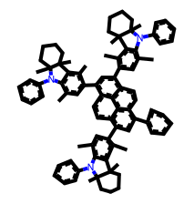 Cc1cc(-c2cc(-c3ccccc3)c3ccc4c(-c5cc(C)c6c(c5C)C5(C)CCCCC5(C)N6c5ccccc5)cc(-c5cc(C)c6c(c5C)C5(C)CCCCC5(C)N6c5ccccc5)c5ccc2c3c45)c(C)c2c1N(c1ccccc1)C1(C)CCCCC21C